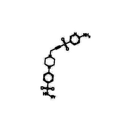 CC(C)NS(=O)(=O)c1ccc(N2CCN(CC#CS(=O)(=O)c3ccc(N)nc3)CC2)cc1